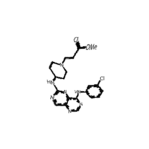 COC(=O)CCN1CCC(Nc2ncc3ncnc(Nc4cccc(Cl)c4)c3n2)CC1